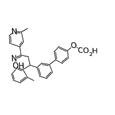 Cc1cc(/C(CC(c2cccc(-c3ccc(OC(=O)O)cc3)c2)c2ccccc2C)=N/O)ccn1